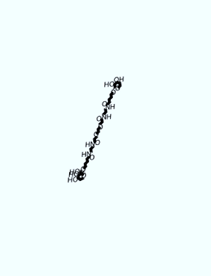 O=C(CCCCOC[C@H]1OCC[C@@H](O)[C@H]1O)NCCCNC(=O)CCOCCOCCC(=O)NCCCNC(=O)CCCCOC[C@@]1(CO)OCC[C@@H](O)[C@H]1O